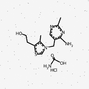 Cc1ncc(C[n+]2csc(CCO)c2C)c(N)n1.Cl.NC(=O)O